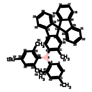 Cc1ccc(B(c2cc3c(cc2C)C2(c4ccccc4-c4ccccc42)c2ccccc2-3)c2c(C)cc(C(C)(C)C)cc2C)c(C)c1